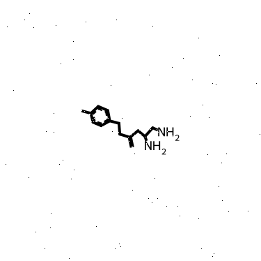 C=C(CCc1ccc(C)cc1)CC(N)CN